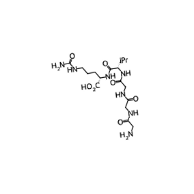 CC(C)[C@H](NC(=O)CNC(=O)CNC(=O)CN)C(=O)N[C@@H](CCCNC(N)=O)C(=O)O